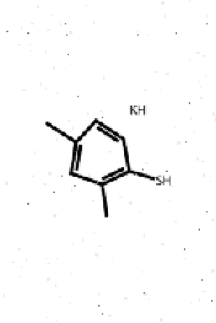 Cc1ccc(S)c(C)c1.[KH]